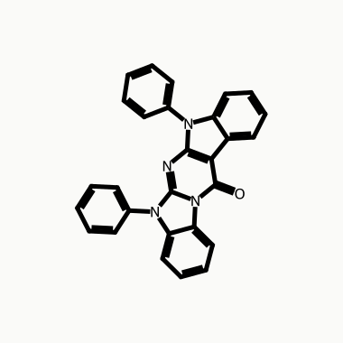 O=c1c2c3ccccc3n(-c3ccccc3)c2nc2n(-c3ccccc3)c3ccccc3n12